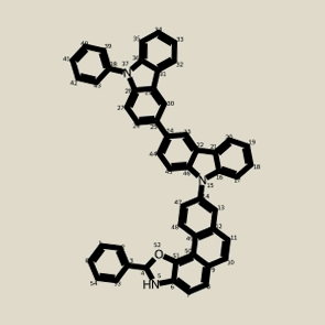 c1ccc(C2Nc3ccc4ccc5cc(-n6c7ccccc7c7cc(-c8ccc9c(c8)c8ccccc8n9-c8ccccc8)ccc76)ccc5c4c3O2)cc1